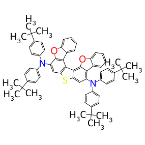 CC(C)(C)c1ccc(N(c2ccc(C(C)(C)C)cc2)c2cc3sc4cc(N(c5ccc(C(C)(C)C)cc5)c5ccc(C(C)(C)C)cc5)c5c6ccccc6oc5c4c3c3c2oc2ccccc23)cc1